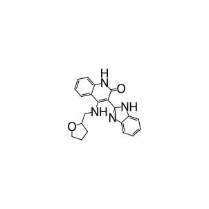 O=c1[nH]c2ccccc2c(NCC2CCCO2)c1-c1nc2ccccc2[nH]1